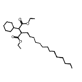 CCCCCCCCCCCCCCC(C(=O)OCC)C(C(=O)OCC)C1CCCCC1